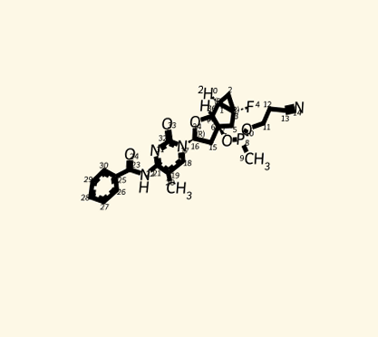 [2H][C@]12C[C@@]1(F)C[C@]1(OP(C)OCCC#N)C[C@H](n3cc(C)c(NC(=O)c4ccccc4)nc3=O)O[C@@H]12